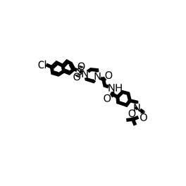 CC(C)(C)ON(C=O)CC1CCC(C(=O)NCC(=O)N2CCN(S(=O)(=O)c3ccc4cc(Cl)ccc4c3)CC2)CC1